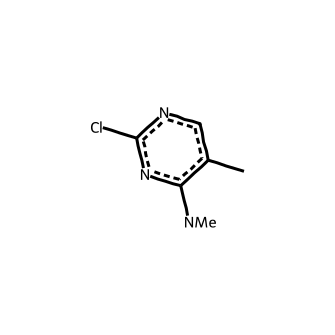 CNc1nc(Cl)ncc1C